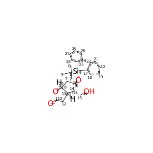 CC(C)(C)[Si](O[C@@H]1C[C@@H]2OC(=O)C[C@@H]2[C@H]1CO)(c1ccccc1)c1ccccc1